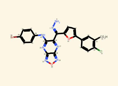 NN=C(c1ccc(-c2ccc(Cl)c(C(=O)O)c2)o1)c1nc2nonc2nc1Nc1ccc(Br)cc1